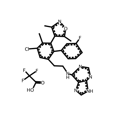 Cc1noc(C)c1-c1c(C)c(Cl)cc(CCNc2ncnc3[nH]cnc23)c1-c1cccc(F)c1.O=C(O)C(F)(F)F